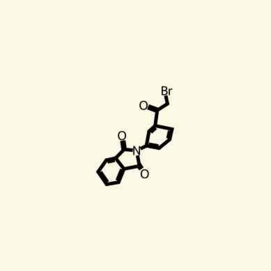 O=C(CBr)c1cccc(N2C(=O)c3ccccc3C2=O)c1